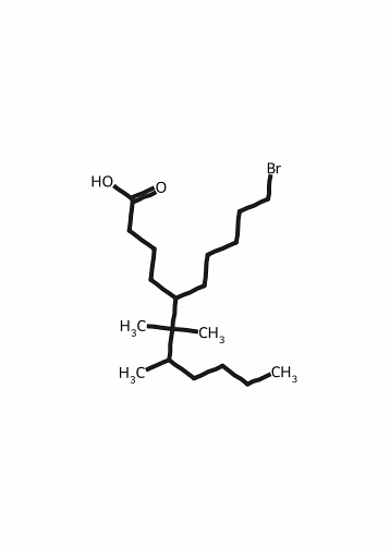 CCCCC(C)C(C)(C)C(CCCCCBr)CCCC(=O)O